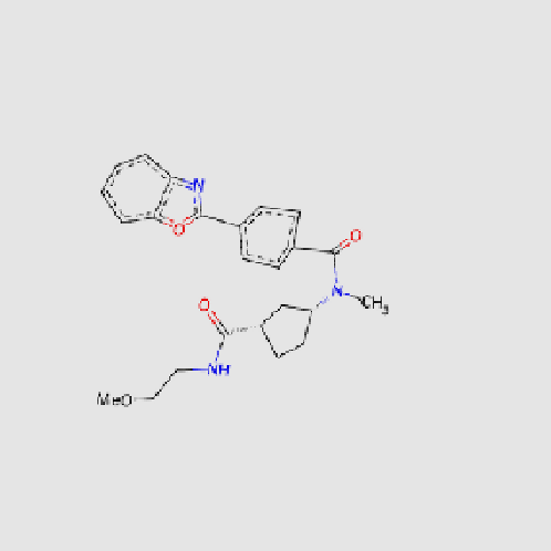 COCCNC(=O)[C@H]1CC[C@@H](N(C)C(=O)c2ccc(-c3nc4ccccc4o3)cc2)C1